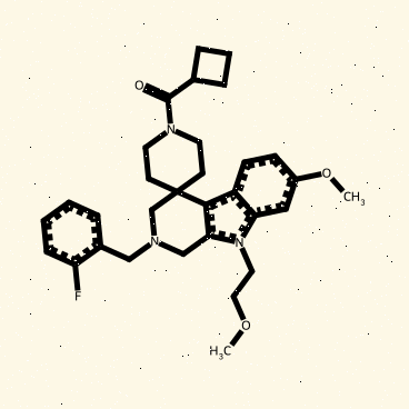 COCCn1c2c(c3ccc(OC)cc31)C1(CCN(C(=O)C3CCC3)CC1)CN(Cc1ccccc1F)C2